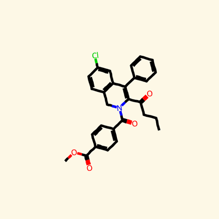 CCCC(=O)C1=C(c2ccccc2)c2cc(Cl)ccc2CN1C(=O)c1ccc(C(=O)OC)cc1